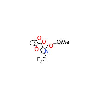 COCCOCc1nc(CC(F)(F)F)ccc1C(=O)C1C(=O)C2CCC(C2)C1=O